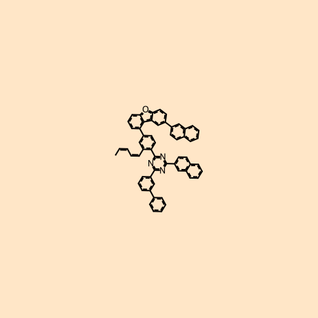 C/C=C\C=C/c1cc(-c2cccc3oc4ccc(-c5ccc6ccccc6c5)cc4c23)ccc1-c1nc(-c2cccc(-c3ccccc3)c2)nc(-c2ccc3ccccc3c2)n1